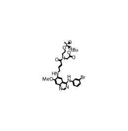 COc1cc2ncnc(Nc3cccc(Br)c3)c2cc1NCC=CC(=O)N(CCOS(C)(=O)=O)CC(=O)OC(C)(C)C